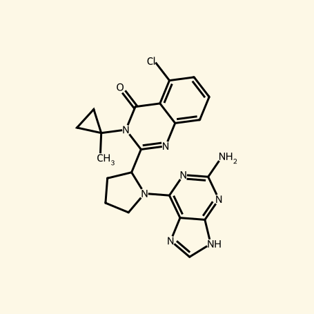 CC1(n2c(C3CCCN3c3nc(N)nc4[nH]cnc34)nc3cccc(Cl)c3c2=O)CC1